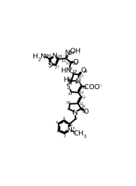 C[n+]1ccccc1CN1CCC(=CC2=C(C(=O)[O-])N3C(=O)[C@@H](NC(=O)/C(=N\O)c4csc(N)n4)[C@H]3SC2)C1=O